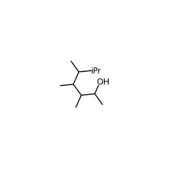 CC(C)C(C)C(C)C(C)C(C)O